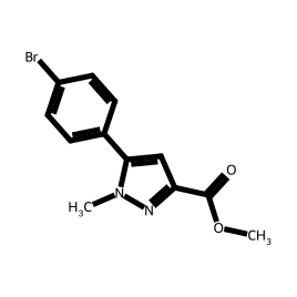 COC(=O)c1cc(-c2ccc(Br)cc2)n(C)n1